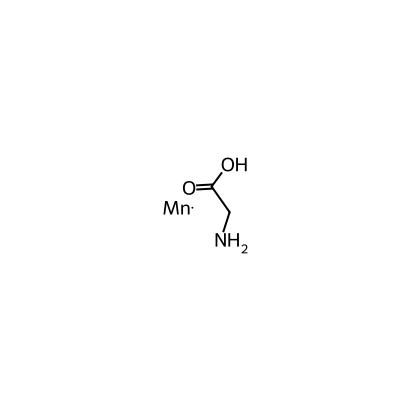 NCC(=O)O.[Mn]